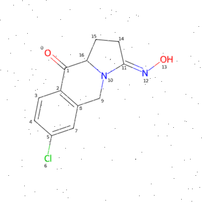 O=C1c2ccc(Cl)cc2CN2C(=NO)CCC12